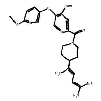 COc1ccc(Oc2cnc(C(=O)N3CCC(/C(N)=C/C=C(N)N)CC3)cc2OC)cn1